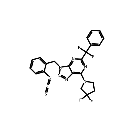 FC1(F)CCN(c2nc(C(F)(F)c3ccccc3)nc3c2nnn3Cc2ccccc2N=C=S)C1